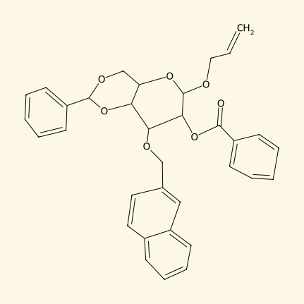 C=CCOC1OC2COC(c3ccccc3)OC2C(OCc2ccc3ccccc3c2)C1OC(=O)c1ccccc1